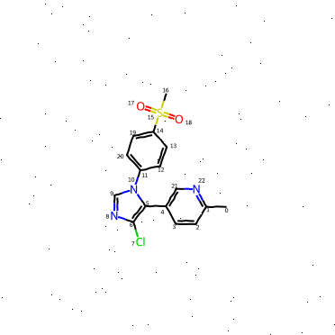 Cc1ccc(-c2c(Cl)ncn2-c2ccc(S(C)(=O)=O)cc2)cn1